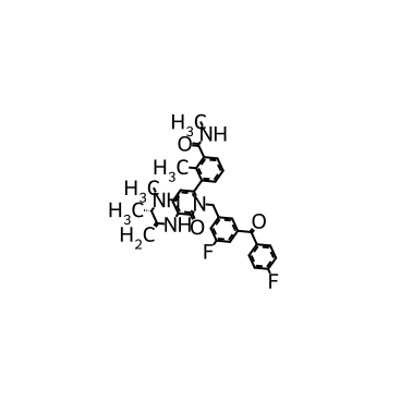 C=C(Nc1ccc(-c2cccc(C(=O)NC)c2C)n(Cc2cc(F)cc(C(=O)c3ccc(F)cc3)c2)c1=O)[C@H](C)NC